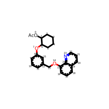 CC(=O)OC1CCCCC1Oc1cccc(COc2cccc3cccnc23)c1